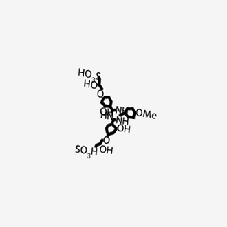 COC1CCC(C2NC(C3CCC(OCC(O)CS(=O)(=O)O)CC3O)NC(C3CCC(OCC(O)CS(=O)(=O)O)CC3O)N2)CC1